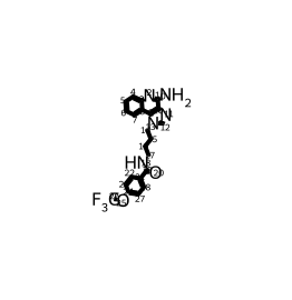 Nc1nc2ccccc2c2c1ncn2CCCCNC(=O)c1ccc(OC(F)(F)F)cc1